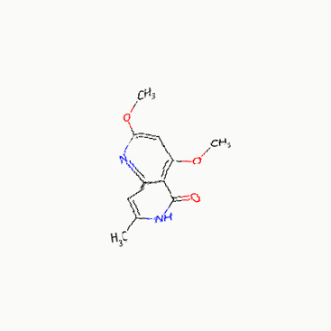 COc1cc(OC)c2c(=O)[nH]c(C)cc2n1